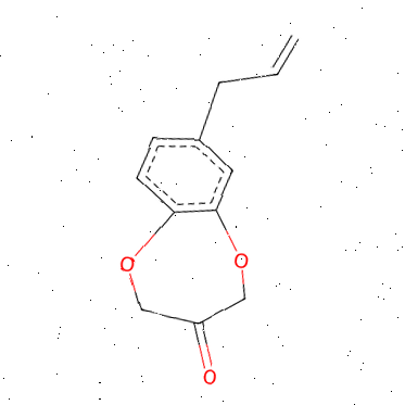 C=CCc1ccc2c(c1)OCC(=O)CO2